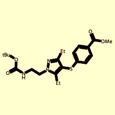 CCc1nn(CCNC(=O)OC(C)(C)C)c(CC)c1Sc1ccc(C(=O)OC)cc1